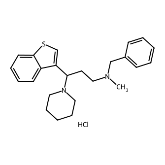 CN(CCC(c1csc2ccccc12)N1CCCCC1)Cc1ccccc1.Cl